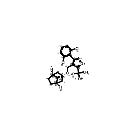 CC(C)(O)c1onc(-c2c(Cl)cccc2Cl)c1CO[C@H]1C[C@H]2CC[C@@H](C1)C2=O